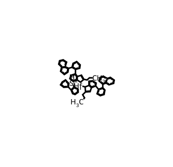 CCCC1=Cc2c(-c3ccccc3-c3cccc4ccccc34)cccc2[CH]1[Hf]([c]1cccc2c1[SiH2]c1ccccc1-2)[CH]1C(CCC)=Cc2c(-c3ccccc3-c3cccc4ccccc34)cccc21